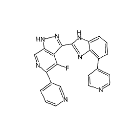 Fc1c(-c2cccnc2)ncc2[nH]nc(-c3nc4c(-c5ccncc5)cccc4[nH]3)c12